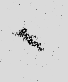 COc1cc(N2CCN(C(=O)CCO)CC2)ccc1Nc1ncnc(Nc2ccccc2S(=O)(=O)C(C)C)n1